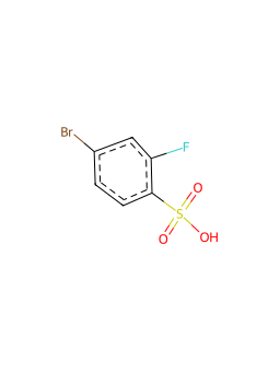 O=S(=O)(O)c1ccc(Br)cc1F